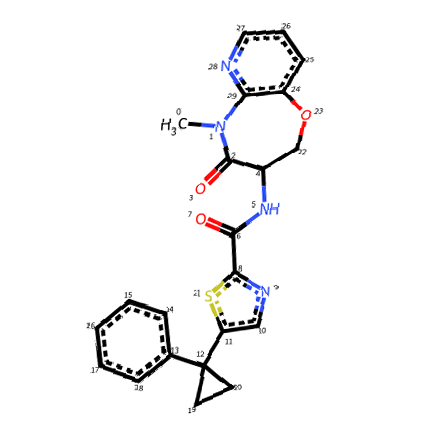 CN1C(=O)C(NC(=O)c2ncc(C3(c4ccccc4)CC3)s2)COc2cccnc21